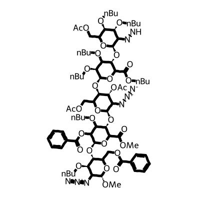 CCCCOC(=O)C1O[C@@H](O[C@@H]2C(COC(C)=O)O[C@H](O[C@@H]3C(C(=O)OC)O[C@@H](O[C@@H]4C(COC(=O)c5ccccc5)O[C@H](OC)C(N=[N+]=[N-])[C@H]4OCCCC)C(OC(=O)c4ccccc4)C3OCCCC)C(N=[N+]=[N-])[C@H]2OC(C)=O)[C@@H](OCCCC)C(OCCCC)[C@@H]1O[C@H]1OC(COC(C)=O)[C@@H](OCCCC)[C@H](OCCCC)C1N=N